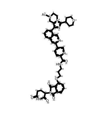 CC(=O)N1CCn2c(C3CCOCC3)nc(-c3cccc4cc(-c5ccc(C(=O)NCCCOc6cccc7c6C(=O)N(C6CCC(=O)NC6=O)C7=O)nc5)ncc34)c2C1